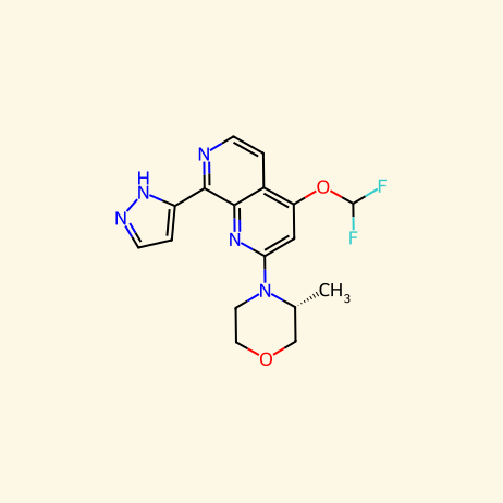 C[C@@H]1COCCN1c1cc(OC(F)F)c2ccnc(-c3ccn[nH]3)c2n1